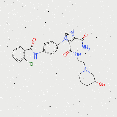 NC(=O)c1ncn(-c2ccc(NC(=O)c3ccccc3Cl)cc2)c1C(=O)NCCN1CCCC(O)C1